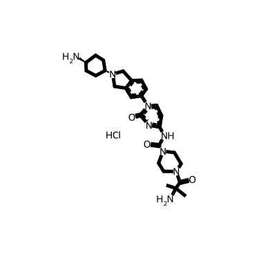 CC(C)(N)C(=O)N1CCN(C(=O)Nc2ccn(-c3ccc4c(c3)CN([C@H]3CC[C@H](N)CC3)C4)c(=O)n2)CC1.Cl